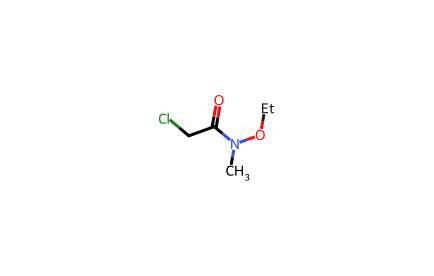 CCON(C)C(=O)CCl